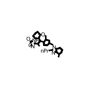 CCCc1nc2c(C)cccc2n1Cc1ccc2c(c1)COc1ccccc1/C2=C(/C)c1noc(=O)[nH]1